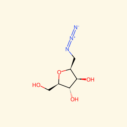 [N-]=[N+]=NC[C@@H]1O[C@H](CO)[C@@H](O)[C@@H]1O